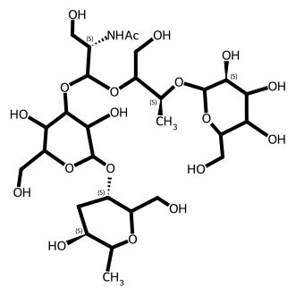 CC(=O)N[C@@H](CO)C(OC1C(O)C(CO)OC(O[C@H]2C[C@H](O)C(C)OC2CO)C1O)OC(CO)[C@H](C)OC1OC(CO)C(O)C(O)[C@@H]1O